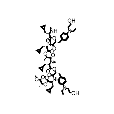 CCN(CCO)c1ccc(C[C@@H](OC(=O)[C@H](CC2CC2)NC)C(=O)N[C@@H](CC2CC2)C(=O)O[C@H](C)C(=O)N(C)[C@@H](CC2CC2)C(=O)O[C@H](Cc2ccc(N(CC)CCO)cc2)C(=O)N[C@@H](CC2CC2)C(=O)O[C@H](C)C(=O)OC)cc1